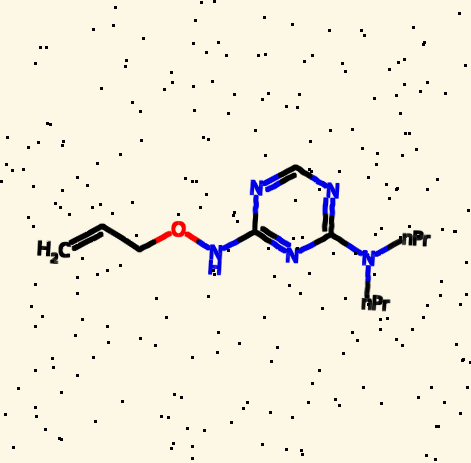 C=CCONc1ncnc(N(CCC)CCC)n1